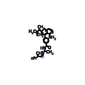 C=C(/C=C\N=C(/C)NC(=O)c1ccc(C2=C3C(N)=NC=CN3CC([C@H](C)N(C)C)=N2)cc1)CCC